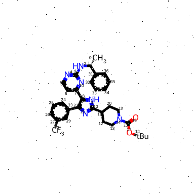 C[C@@H](Nc1nccc(-c2[nH]c(C3CCN(C(=O)OC(C)(C)C)CC3)nc2-c2cccc(C(F)(F)F)c2)n1)c1ccccc1